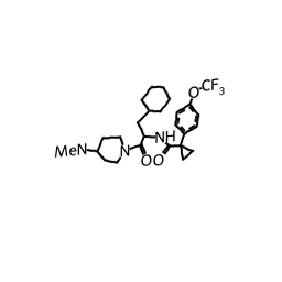 CNC1CCN(C(=O)C(CC2CCCCC2)NC(=O)C2(c3ccc(OC(F)(F)F)cc3)CC2)CC1